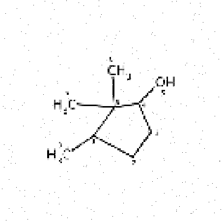 CC1CCC(O)C1(C)C